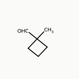 CC1(C=O)CCC1